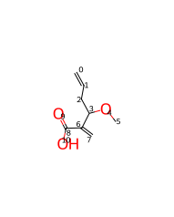 C=CCC(OC)C(=C)C(=O)O